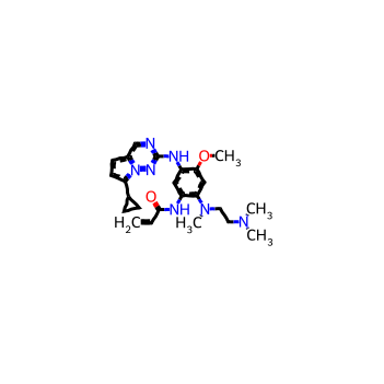 C=CC(=O)Nc1cc(Nc2ncc3ccc(C4CC4)n3n2)c(OC)cc1N(C)CCN(C)C